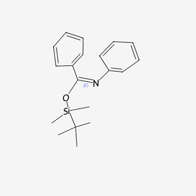 CC(C)(C)[Si](C)(C)O/C(=N/c1ccccc1)c1ccccc1